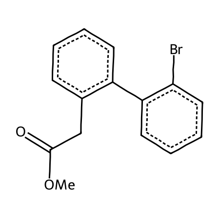 COC(=O)Cc1ccccc1-c1ccccc1Br